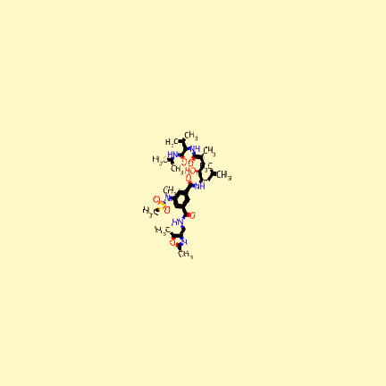 Cc1nc(CNC(=O)c2cc(C(=O)N[C@@H](CC(C)C)[C@@H](O)C[C@@H](C)C(=O)NC(C(=O)NC(C)C)C(C)C)cc(N(C)S(C)(=O)=O)c2)c(C)o1